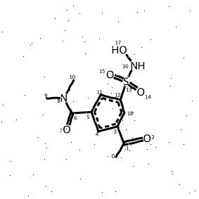 CC(=O)c1cc(C(=O)N(C)C)cc(S(=O)(=O)NO)c1